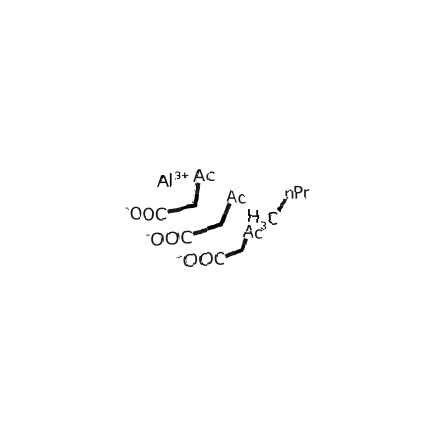 CC(=O)CC(=O)[O-].CC(=O)CC(=O)[O-].CC(=O)CC(=O)[O-].CCCC.[Al+3]